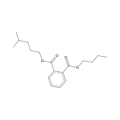 CCCCOC(=O)c1ccccc1C(=O)OCCCC(C)C